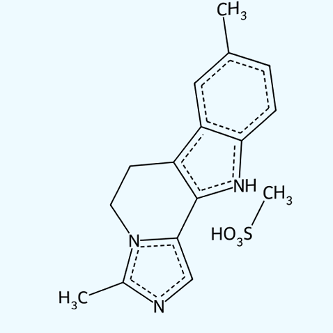 CS(=O)(=O)O.Cc1ccc2[nH]c3c(c2c1)CCn1c-3cnc1C